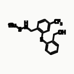 CC(C)(C)SNCc1ccc(C(F)(F)F)cc1Sc1ccccc1CO